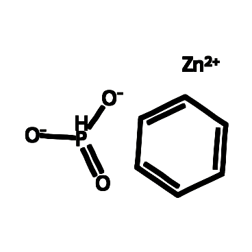 O=[PH]([O-])[O-].[Zn+2].c1ccccc1